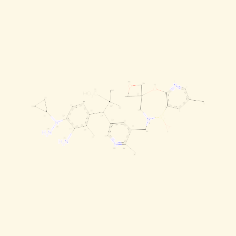 Cc1cnc2c(c1)[S+]([O-])N(Cc1cc(C(c3ccc(N(N)C4CC4)c(N)c3C)C(C)(C)C(=O)O)cnc1C)CC1(COC1)O2